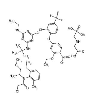 CCNc1nc(Cl)nc(NC(C)(C)C)n1.CCOc1cc(Oc2ccc(C(F)(F)F)cc2Cl)ccc1[N+](=O)[O-].CCc1cccc(C)c1N(C(=O)CCl)C(C)COC.O=C(O)CNCP(=O)(O)O